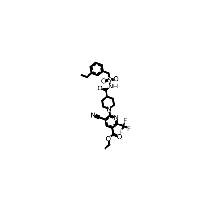 CCOC(=O)c1cc(C#N)c(N2CCC(C(=O)NS(=O)(=O)Cc3cccc(CC)c3)CC2)nc1C(F)(F)F